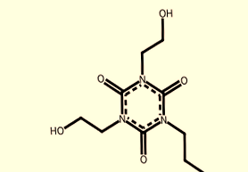 CCCn1c(=O)n(CCO)c(=O)n(CCO)c1=O